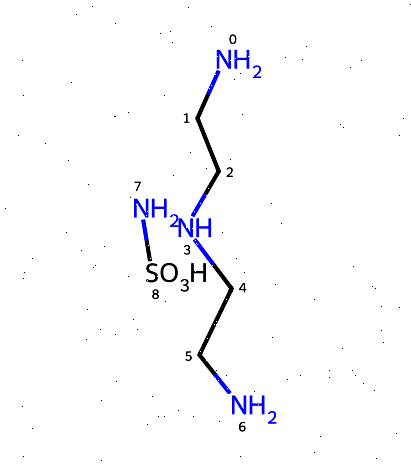 NCCNCCN.NS(=O)(=O)O